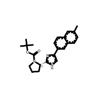 Cc1ccc2cc(-c3c[nH]c([C@@H]4CCCN4C(=O)OC(C)(C)C)n3)ccc2c1